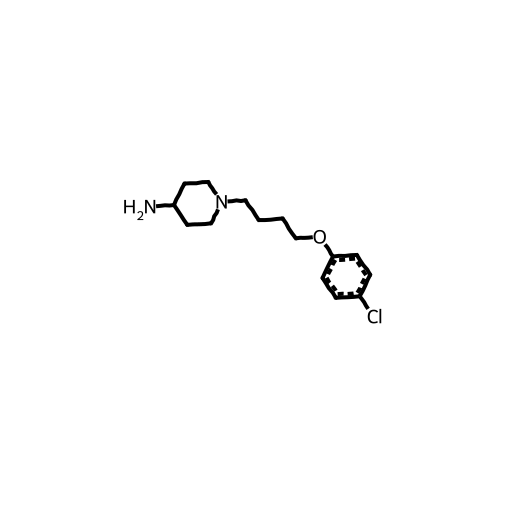 NC1CCN(CCCCOc2ccc(Cl)cc2)CC1